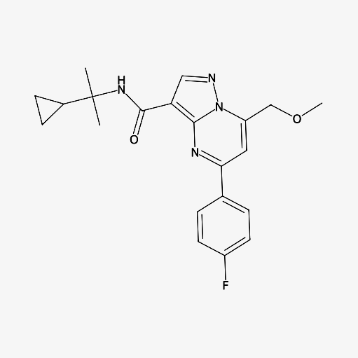 COCc1cc(-c2ccc(F)cc2)nc2c(C(=O)NC(C)(C)C3CC3)cnn12